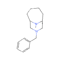 CN1C2CCCCC1CN(Cc1ccccc1)C2